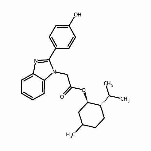 CC1CC[C@@H](C(C)C)[C@H](OC(=O)Cn2c(-c3ccc(O)cc3)nc3ccccc32)C1